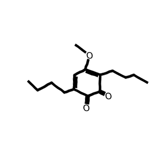 CCCCC1=CC(OC)=C(CCCC)C(=O)C1=O